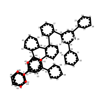 c1ccc(-c2ccc(-c3cccc(-c4ccccc4-c4cc(-c5ccccc5)nc(-c5ccccc5)n4)c3-c3ccccc3-c3cc(-c4ccccc4)nc(-c4ccccc4)n3)cc2)cc1